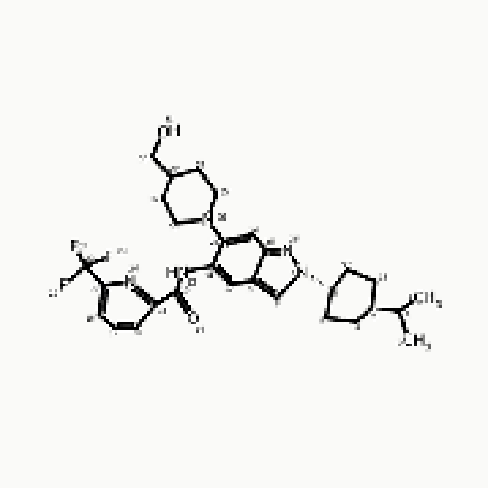 CC(C)[C@H]1CC[C@H](n2cc3cc(NC(=O)c4cccc(C(F)(F)F)n4)c(N4CCC(CO)CC4)cc3n2)CC1